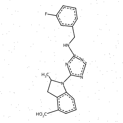 CC1Cc2c(C(=O)O)cccc2N1c1ncnc(NCc2cccc(F)c2)n1